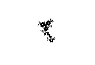 CCN(CCCC(=O)CN1C(=O)CCC1=O)c1cc(O)c(-c2c3ccc(=[N+](C)C)cc-3oc3cc(N(C)C)ccc23)cc1OC